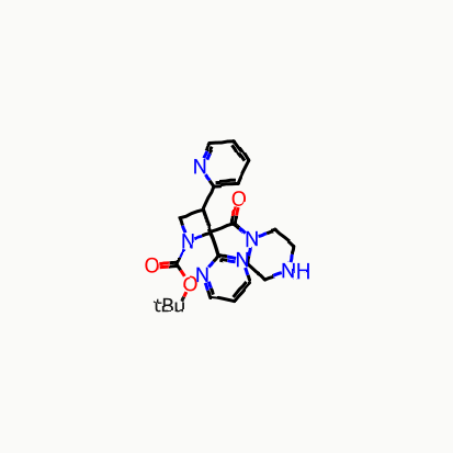 CC(C)(C)OC(=O)N1CC(c2ccccn2)C1(C(=O)N1CCNCC1)c1ncccn1